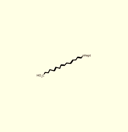 CCCCCCCC=CCC=CCC=CCC=CCCCC(=O)O